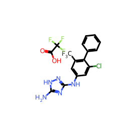 Nc1nc(Nc2cc(Cl)c(-c3ccccc3)c(C(F)(F)F)c2)n[nH]1.O=C(O)C(F)(F)F